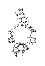 C[C@@H](Cc1cccc([C@@]2(C)CCCCC(C)(C)c3cn(nn3)Cc3c(c(F)c(F)c4[nH]ccc34)Oc3ccnc(c3)-c3nc2nn3C)c1)C(=O)O